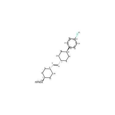 CCCCCC[C@H]1CC[C@H](C=C[C@H]2CC[C@H](c3ccc(F)cc3)CC2)CC1